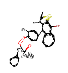 COC(=O)[C@@H](Cc1ccccc1)Oc1ccc(-c2c3ccccc3c(Br)c3sc(C)c(C)c23)cc1C(C)C